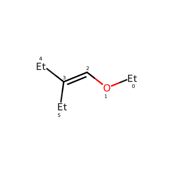 CCOC=C(CC)CC